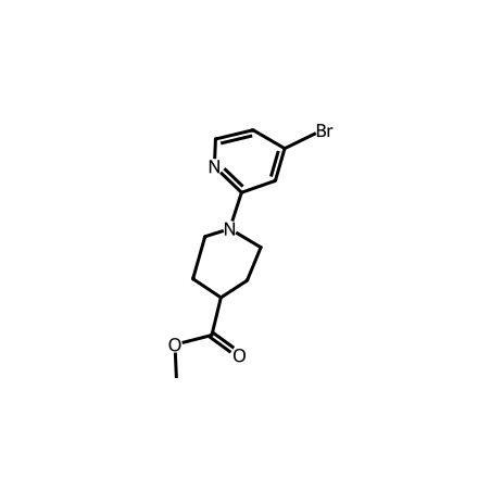 COC(=O)C1CCN(c2cc(Br)ccn2)CC1